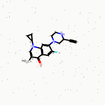 C#CC1CN(c2cc3c(cc2F)c(=O)c(C(=O)O)cn3C2CC2)CCN1